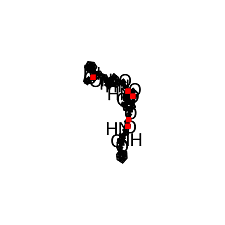 COC(=O)[C@H](CNC(=O)c1ccc2c(cnn2CCCN(C(=O)OC(C)(C)C)c2ccccn2)c1)NS(=O)(=O)c1c(C)cc(OCCCC(=O)NCCNC(=O)OCc2ccccc2)cc1C